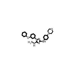 NNc1nc(Nc2ccc(N3CCOCC3)cc2)nn1-c1cccc(Oc2ccccc2)c1